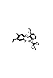 CCOc1cccc(NC(=O)OC)c1COc1cc(C)c(CC)cc1Br